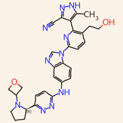 Cc1[nH]nc(C#N)c1-c1nc(-n2cnc3cc(Nc4ccc([C@H]5CCCN5C5COC5)nn4)ccc32)ccc1CCO